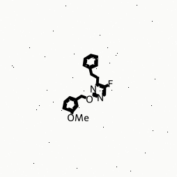 COc1cccc(COc2ncc(F)c(CCc3ccccc3)n2)c1